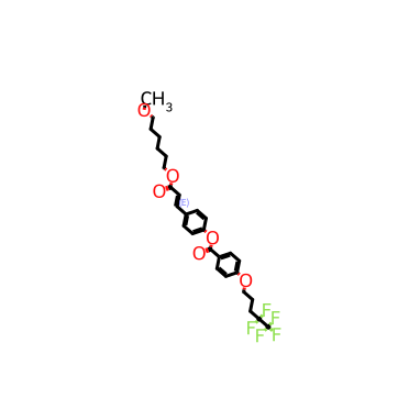 COCCCCCCOC(=O)/C=C/c1ccc(OC(=O)c2ccc(OCCCC(F)(F)C(F)(F)F)cc2)cc1